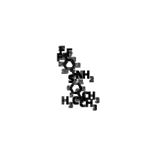 CC(C)(C)C1CCC(SC(N)c2ccc(C(F)(F)F)cc2)CC1